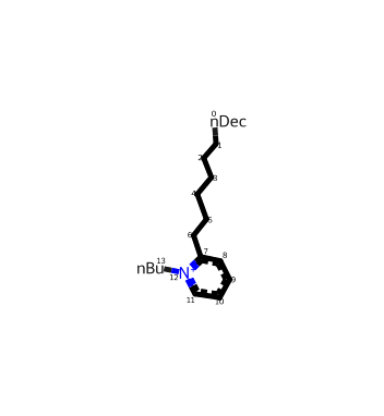 CCCCCCCCCCCCCCCCc1cccc[n+]1CCCC